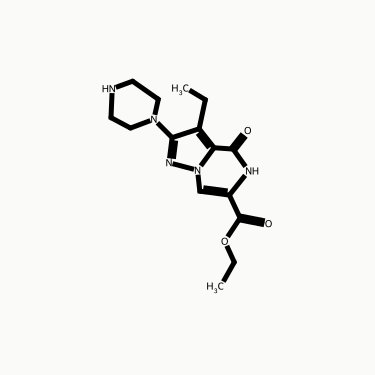 CCOC(=O)c1cn2nc(N3CCNCC3)c(CC)c2c(=O)[nH]1